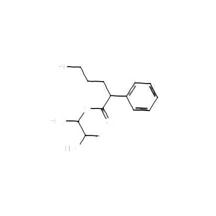 CC(C)C(C)OC(=O)C(CCCBr)c1ccccc1